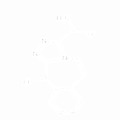 CCC1c2ccccc2C=Cn2c1nnc2[S+](C)[O-]